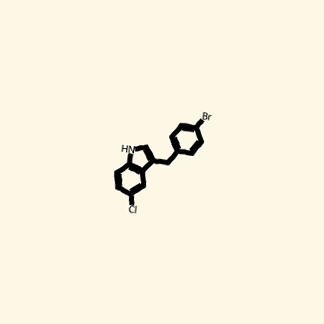 Clc1ccc2[nH]cc(Cc3ccc(Br)cc3)c2c1